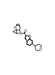 O=C(NC1C2CCN(CC2)C12CC2)c1cc2ccc(C3CCOCC3)cc2s1